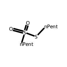 CCCCCSS(=O)(=O)CCCCC